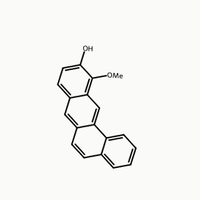 COc1c(O)ccc2cc3ccc4ccccc4c3cc12